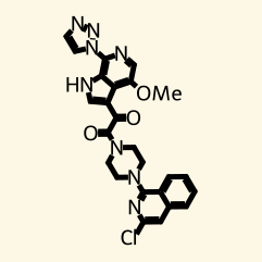 COc1cnc(-n2ccnn2)c2[nH]cc(C(=O)C(=O)N3CCN(c4nc(Cl)cc5ccccc45)CC3)c12